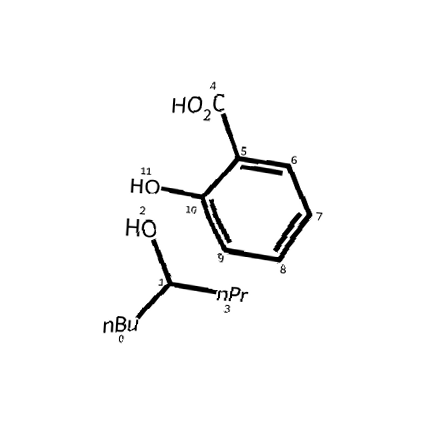 CCCCC(O)CCC.O=C(O)c1ccccc1O